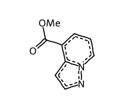 COC(=O)c1cccn2nccc12